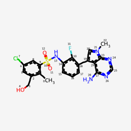 Cc1c(CO)cc(Cl)cc1S(=O)(=O)Nc1cccc(-c2cn(C)c3ncnc(N)c23)c1F